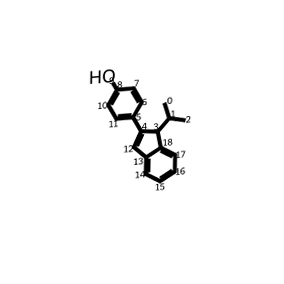 CC(C)C1C(c2ccc(O)cc2)=Cc2ccccc21